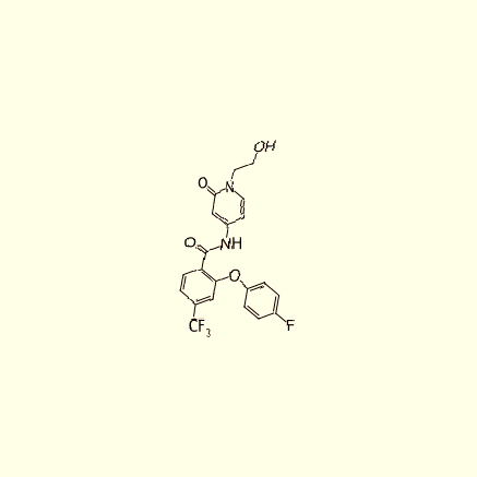 O=C(Nc1ccn(CCO)c(=O)c1)c1ccc(C(F)(F)F)cc1Oc1ccc(F)cc1